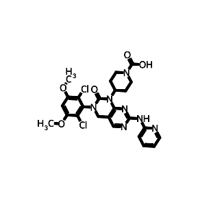 COc1cc(OC)c(Cl)c(N2Cc3cnc(Nc4ccccn4)nc3N(C3CCN(C(=O)O)CC3)C2=O)c1Cl